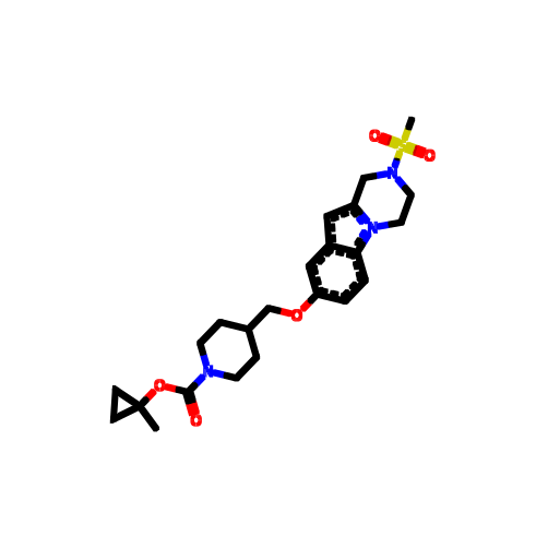 CC1(OC(=O)N2CCC(COc3ccc4c(c3)cc3n4CCN(S(C)(=O)=O)C3)CC2)CC1